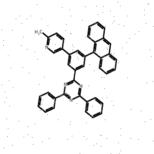 Cc1ccc(-c2cc(-c3nc(-c4ccccc4)nc(-c4ccccc4)n3)cc(-c3c4ccccc4cc4ccccc34)c2)cn1